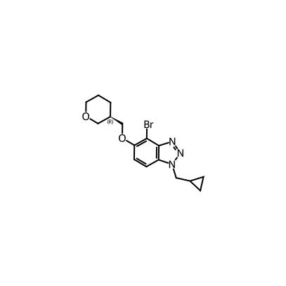 Brc1c(OC[C@@H]2CCCOC2)ccc2c1nnn2CC1CC1